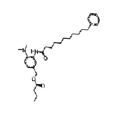 CCCC(=O)OCc1ccc(N(C)C)c(NC(=O)CCCCCCCCCCc2ccccc2)c1